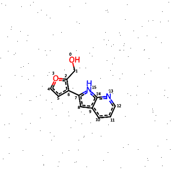 OCc1occc1-c1cc2cccnc2[nH]1